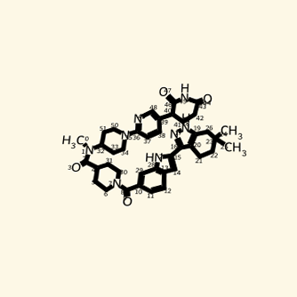 CN(C(=O)C1CCN(C(=O)c2ccc3cc(-c4n[nH]c5c4CCC(C)(C)C5)[nH]c3c2)CC1)C1CCN(c2ccc(C3CCC(=O)NC3=O)cn2)CC1